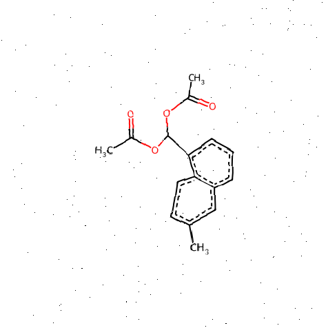 CC(=O)OC(OC(C)=O)c1cccc2cc(C)ccc12